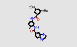 Cc1ccc(NC(=O)c2cc(C(C)(C)C)cc(C(C)(C)C)c2)cc1NC(=O)c1ccc2nccnc2c1